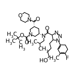 CC1=C(F)CCC(N2N=NC(C(=O)N(CC(C)C)[C@H]3C[C@@H](C(=O)N4CCOCC4)CN(C(=O)OC(C)(C)C)C3)C2CCCCO)=C1